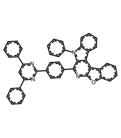 c1ccc(-c2cc(-c3ccccc3)nc(-c3ccc(-c4nc5oc6ccccc6c5c5c6ccccc6n(-c6ccccc6)c45)cc3)n2)cc1